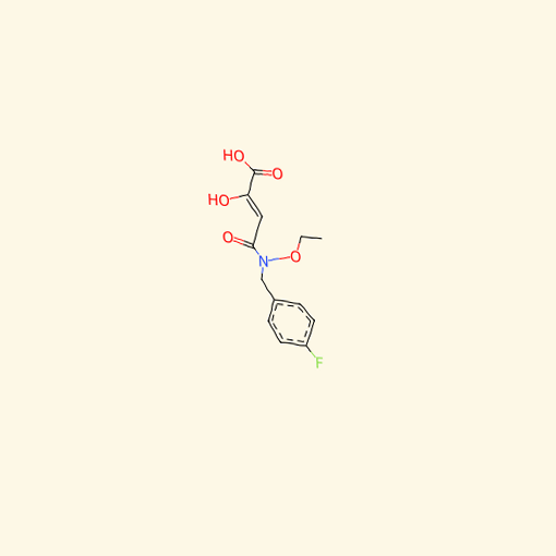 CCON(Cc1ccc(F)cc1)C(=O)C=C(O)C(=O)O